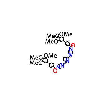 COc1cc(-c2ccc(C(=O)N3CCN(Cc4cccc(CN5CCN(C(=O)c6ccc(-c7cc(OC)c(OC)c(OC)c7)cc6)CC5)n4)CC3)cc2)cc(OC)c1OC